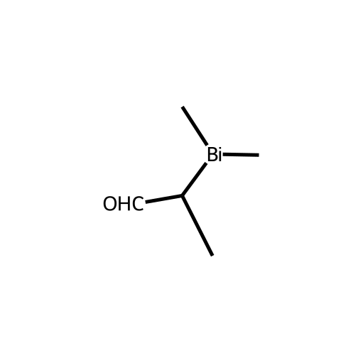 C[CH](C=O)[Bi]([CH3])[CH3]